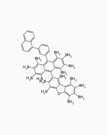 Bc1c(B)c(B)c2c(oc3c(B)c(B)c(-c4c5c(B)c(B)c(B)c(B)c5c(-c5cccc(-c6cccc7ccccc67)c5)c5c(B)c(B)c(B)c(B)c45)c(B)c32)c1B